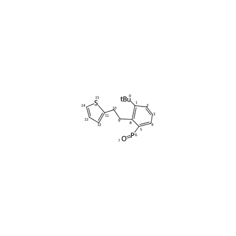 CC(C)(C)c1cccc(P=O)c1CCc1cccs1